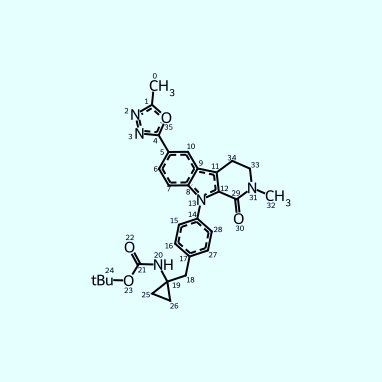 Cc1nnc(-c2ccc3c(c2)c2c(n3-c3ccc(CC4(NC(=O)OC(C)(C)C)CC4)cc3)C(=O)N(C)CC2)o1